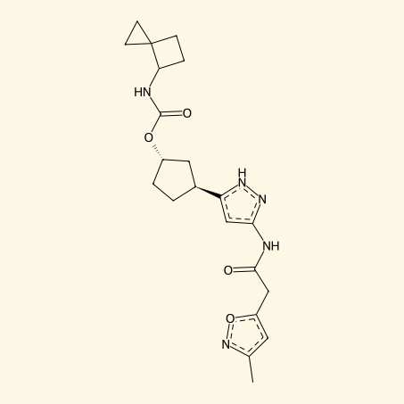 Cc1cc(CC(=O)Nc2cc([C@H]3CC[C@H](OC(=O)NC4CCC45CC5)C3)[nH]n2)on1